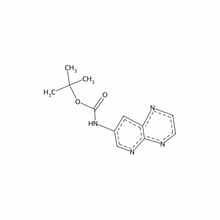 CC(C)(C)OC(=O)Nc1cnc2nccnc2c1